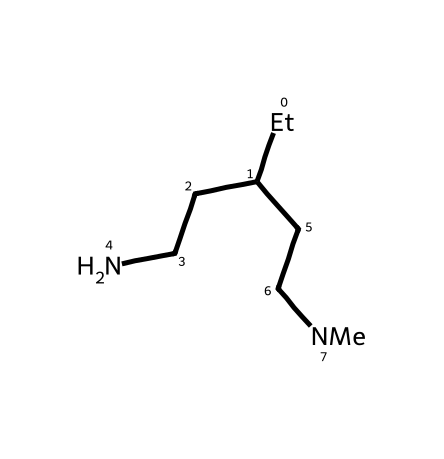 CCC(CCN)CCNC